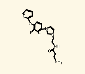 NCCC(=O)NCCN1C=CN(c2ccc(Oc3ccccn3)c(F)c2F)C1